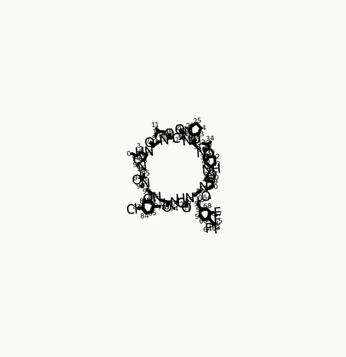 CC[C@H](C)[C@@H]1NC(=O)[C@H](CC(C)C)N(C)C(=O)C[C@@H](C(=O)N2CCCCC2)N(C)C(=O)[C@H](CC(C)C)N(C)C(=O)C2(CCCC2)NC(=O)[C@@H]2CCCN2C(=O)[C@H](CCc2ccc(C(F)(F)F)c(F)c2)NC(=O)CN(C)C(=O)[C@H](Cc2ccc(Cl)cc2)N(C)C(=O)CN(C)C(=O)CN(C)C1=O